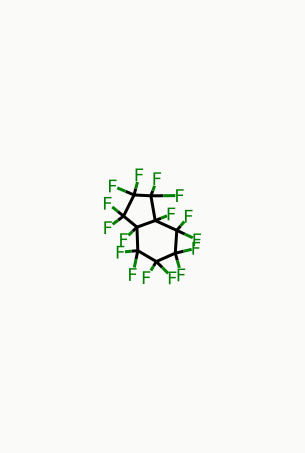 FC1(F)C(F)(F)C(F)(F)C2(F)C(F)(F)C(F)(F)C(F)(F)C2(F)C1(F)F